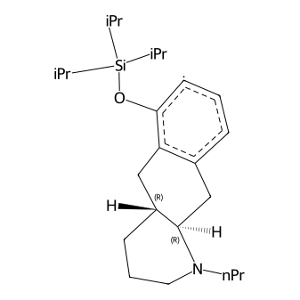 CCCN1CCC[C@@H]2Cc3c(O[Si](C(C)C)(C(C)C)C(C)C)[c]ccc3C[C@H]21